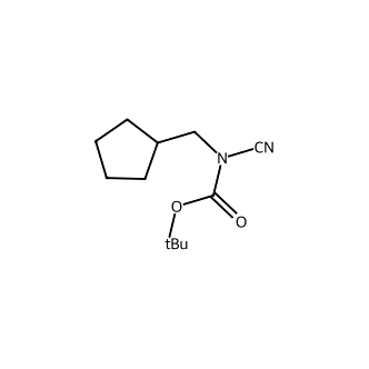 CC(C)(C)OC(=O)N(C#N)CC1CCCC1